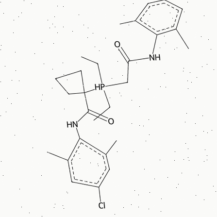 CC[PH](CC)(CC(=O)Nc1c(C)cccc1C)C1(C(=O)Nc2c(C)cc(Cl)cc2C)CCC1